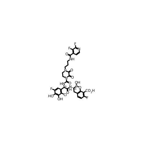 O=C(NCCCN1CCN(C(=O)N[C@@H](C(=O)N[C@H]2Cc3ccc(F)c(C(=O)O)c3OB2O)c2cc(F)c(O)c(O)c2Cl)C(=O)C1=O)c1ccnc(F)c1F